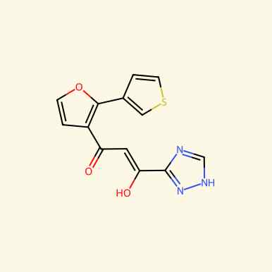 O=C(C=C(O)c1nc[nH]n1)c1ccoc1-c1ccsc1